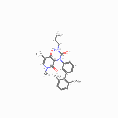 COc1cccc(OC)c1-c1cccc(N(C(=O)NCCC(=O)O)C2C(=O)C(C)=CN(C)C2=O)c1